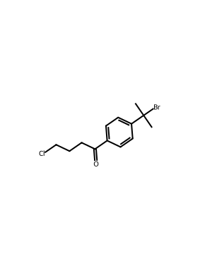 CC(C)(Br)c1ccc(C(=O)CCCCl)cc1